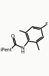 CCCC(C)C(=O)Nc1c(C)cc(F)cc1C